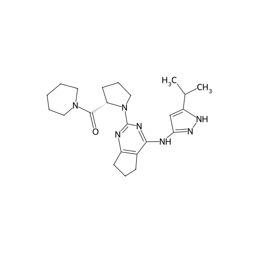 CC(C)c1cc(Nc2nc(N3CCC[C@H]3C(=O)N3CCCCC3)nc3c2CCC3)n[nH]1